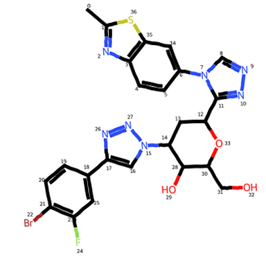 Cc1nc2ccc(-n3cnnc3C3CC(n4cc(-c5ccc(Br)c(F)c5)nn4)C(O)C(CO)O3)cc2s1